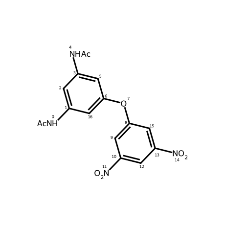 CC(=O)Nc1cc(NC(C)=O)cc(Oc2cc([N+](=O)[O-])cc([N+](=O)[O-])c2)c1